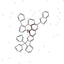 c1ccc(-c2ccccc2-c2c(-c3ccccc3)cccc2N(c2ccc(-c3ccc4ccccc4c3)cc2)c2ccc3c(c2)C(c2ccccc2)(c2ccccc2)c2ccccc2-3)cc1